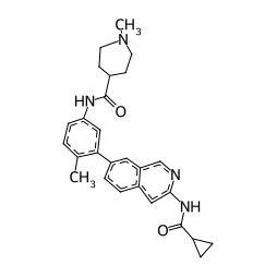 Cc1ccc(NC(=O)C2CCN(C)CC2)cc1-c1ccc2cc(NC(=O)C3CC3)ncc2c1